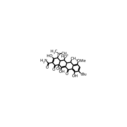 COc1cc(C(C)(C)C)c(O)c2c1C(C)C1C(=C(O)C3(O)C(=O)C(C(N)=O)=C(O)C(N(C)C)C3C1O)C2=O